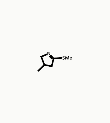 CSC1=NCC(C)C1